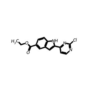 CCOC(=O)c1ccc2[nH]c(-c3ccnc(Cl)n3)cc2c1